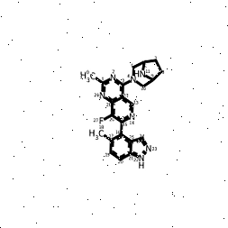 Cc1nc(N2CC3CCC(C2)N3)c2cnc(-c3c(C)ccc4[nH]ncc34)c(F)c2n1